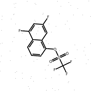 O=S(=O)(Oc1cccc2c(F)cc(F)cc12)C(F)(F)F